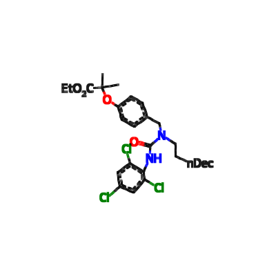 CCCCCCCCCCCCN(Cc1ccc(OC(C)(C)C(=O)OCC)cc1)C(=O)Nc1c(Cl)cc(Cl)cc1Cl